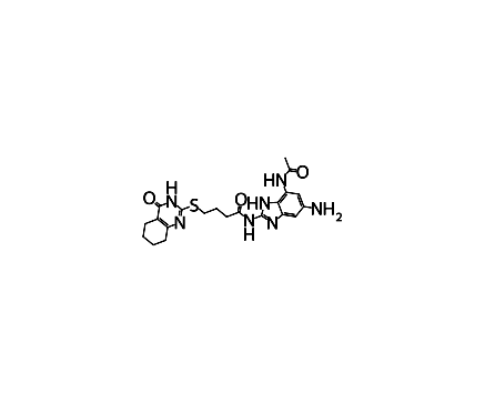 CC(=O)Nc1cc(N)cc2nc(NC(=O)CCCSc3nc4c(c(=O)[nH]3)CCCC4)[nH]c12